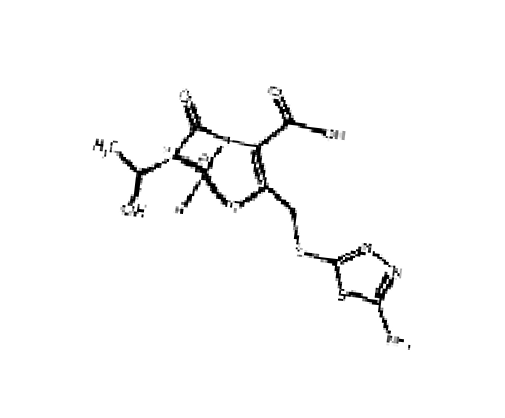 CC(O)[C@H]1C(=O)N2C(C(=O)O)=C(CSc3nnc(N)s3)S[C@H]12